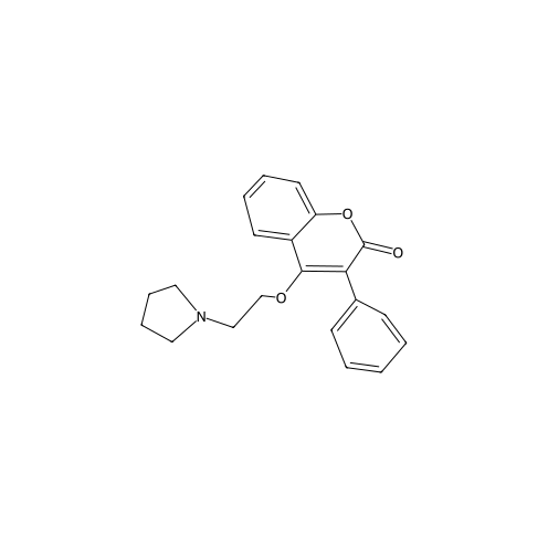 O=c1oc2ccccc2c(OCCN2CCCC2)c1-c1ccccc1